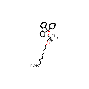 [2H]C(C)(COCCCCCCCCCCCCCCCCCC)COC(c1ccccc1)(c1ccccc1)c1ccccc1